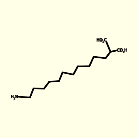 NCCCCCCCCCCCC(C(=O)O)C(=O)O